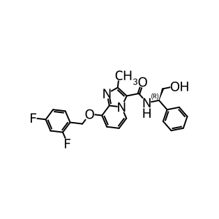 Cc1nc2c(OCc3ccc(F)cc3F)cccn2c1C(=O)N[C@@H](CO)c1ccccc1